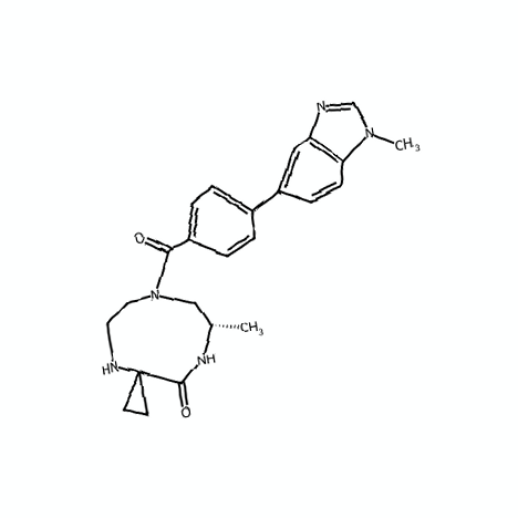 C[C@H]1CN(C(=O)c2ccc(-c3ccc4c(c3)ncn4C)cc2)CCNC2(CC2)C(=O)N1